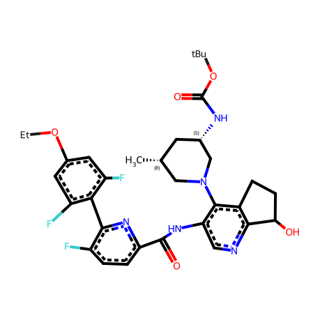 CCOc1cc(F)c(-c2nc(C(=O)Nc3cnc4c(c3N3C[C@H](C)C[C@H](NC(=O)OC(C)(C)C)C3)CCC4O)ccc2F)c(F)c1